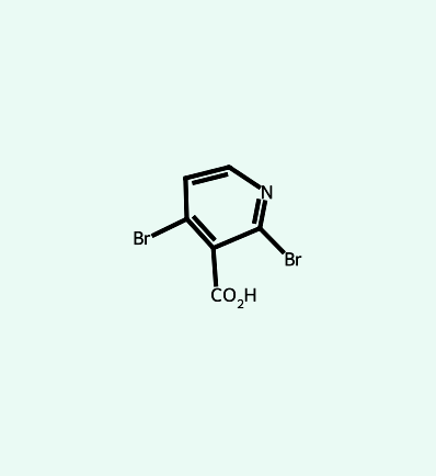 O=C(O)c1c(Br)ccnc1Br